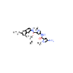 Cn1cc(N)cc1C(=O)Nc1cc(C(=O)Nc2ccc3cc(S(=O)(=O)O)cc(S(=O)(=O)O)c3c2)n(C)c1.[K].[K]